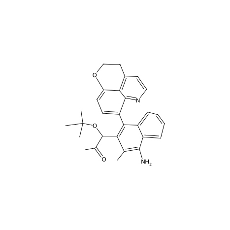 CC(=O)C(OC(C)(C)C)c1c(C)c(N)c2ccccc2c1-c1ccc2c3c(ccnc13)CCO2